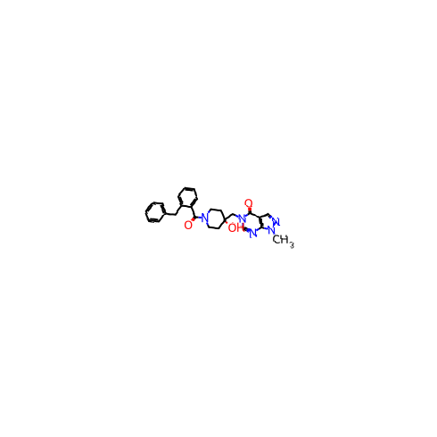 Cn1ncc2c(=O)n(CC3(O)CCN(C(=O)c4ccccc4Cc4ccccc4)CC3)cnc21